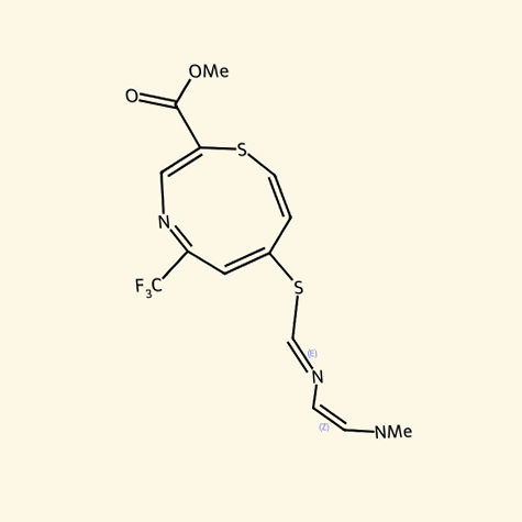 CN/C=C\N=C\Sc1ccsc(C(=O)OC)cnc(C(F)(F)F)c1